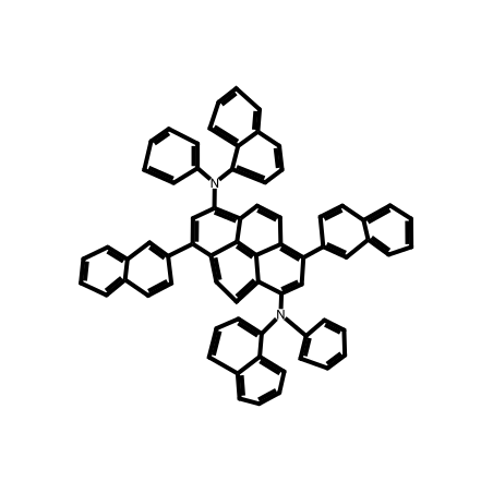 c1ccc(N(c2cccc3ccccc23)c2cc(-c3ccc4ccccc4c3)c3ccc4c(N(c5ccccc5)c5cccc6ccccc56)cc(-c5ccc6ccccc6c5)c5ccc2c3c54)cc1